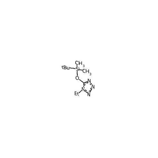 CCn1nnnc1O[Si](C)(C)C(C)(C)C